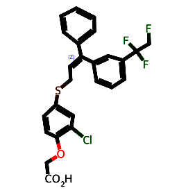 O=C(O)COc1ccc(SC/C=C(/c2ccccc2)c2cccc(C(F)(F)CF)c2)cc1Cl